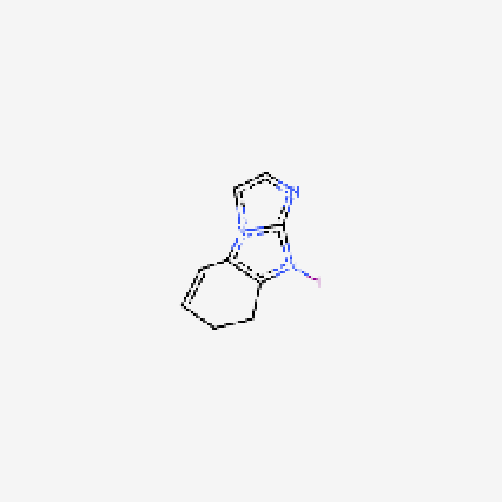 In1c2c(n3ccnc13)C=CCC2